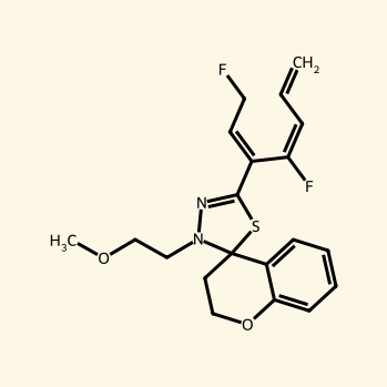 C=C/C=C(F)\C(=C/CF)C1=NN(CCOC)C2(CCOc3ccccc32)S1